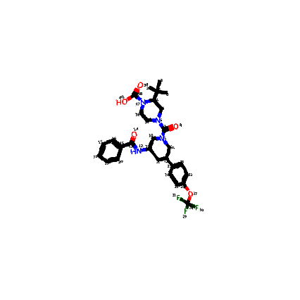 CC(C)(C)C1CN(C(=O)N2CC(NC(=O)c3ccccc3)CC(c3ccc(OC(F)(F)F)cc3)C2)CCN1C(=O)O